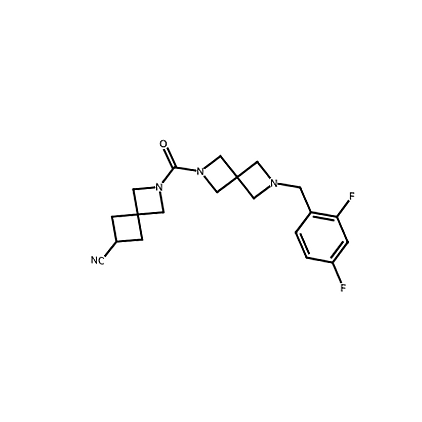 N#CC1CC2(C1)CN(C(=O)N1CC3(CN(Cc4ccc(F)cc4F)C3)C1)C2